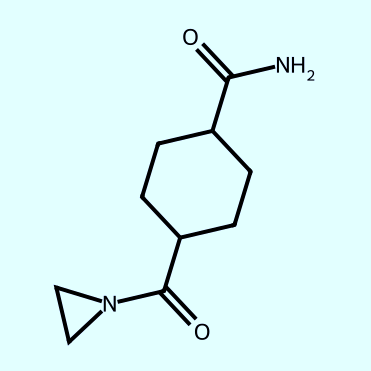 NC(=O)C1CCC(C(=O)N2CC2)CC1